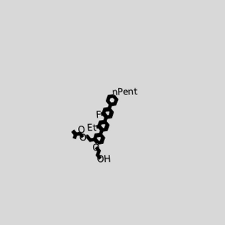 C=C(C)C(=O)OCCc1cc(-c2ccc(-c3ccc(C4CCC(CCCCC)CC4)cc3F)cc2CC)ccc1OCCO